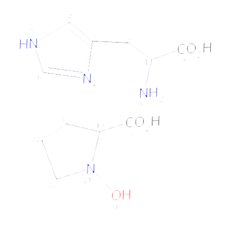 NC(Cc1c[nH]cn1)C(=O)O.O=C(O)C1CCCN1O